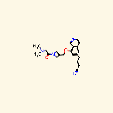 CN(C)CC(=O)N1CC(COc2cc(C/C=C/C#N)cc3ccncc23)C1